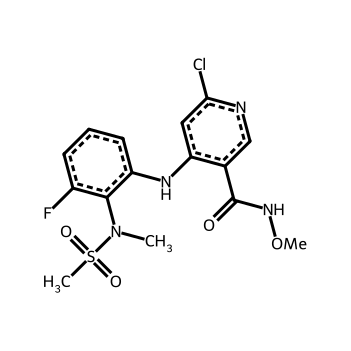 CONC(=O)c1cnc(Cl)cc1Nc1cccc(F)c1N(C)S(C)(=O)=O